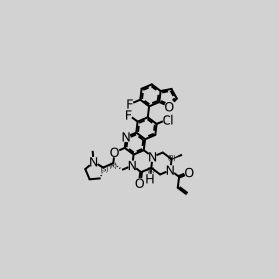 C=CC(=O)N1C[C@@H]2C(=O)N3C[C@H]([C@@H]4CCCN4C)Oc4nc5c(F)c(-c6c(F)ccc7ccoc67)c(Cl)cc5c(c43)N2C[C@H]1C